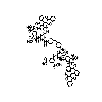 Cn1c(=O)c(C(=O)c2ccccc2)c2c3c(c(Nc4cc(Nc5nc(O)nc(NC6CCC(CC7CCC(Nc8nc(Nc9cc(Nc%10ccc%11c%12c%10C(=O)c%10ccccc%10-c%12c(C(=O)c%10ccccc%10)c(=O)n%11C)c(S(=O)(=O)O)cc9S(=O)(=O)O)nc(Oc9cc(C(=O)O)cc(C(=O)O)c9)n8)CC7)CC6)n5)c(S(=O)(=O)O)cc4S(=O)(=O)O)ccc31)C(=O)c1ccccc1-2